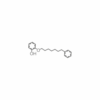 Oc1ccccc1OCCCCCCCc1ccccc1